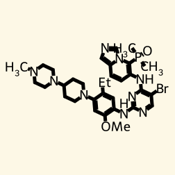 CCc1cc(Nc2ncc(Br)c(Nc3ccc4cncn4c3P(C)(C)=O)n2)c(OC)cc1N1CCC(N2CCN(C)CC2)CC1